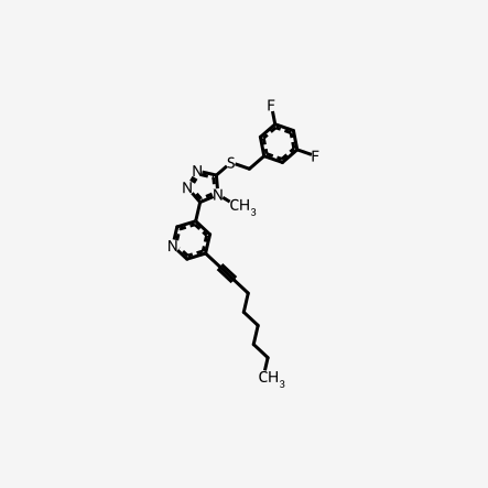 CCCCCCC#Cc1cncc(-c2nnc(SCc3cc(F)cc(F)c3)n2C)c1